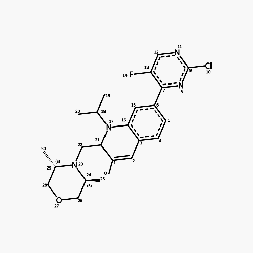 CC1=Cc2ccc(-c3nc(Cl)ncc3F)cc2N(C(C)C)C1CN1[C@@H](C)COC[C@@H]1C